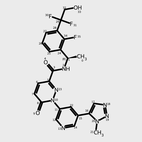 C[C@@H](NC(=O)c1ccc(=O)n(-c2cncc(-c3cnnn3C)c2)n1)c1cccc(C(F)(F)CO)c1F